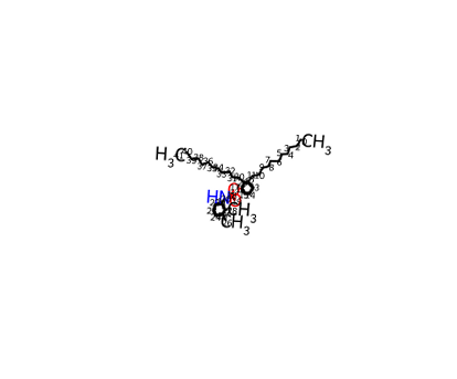 CCCCCCCCCCCCc1cccc(OC(=O)Nc2cccc(C)c2C)c1CCCCCCCCCCCC